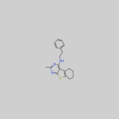 Cc1nc(NCCc2ccccc2)c2c3c(sc2n1)CCCC3